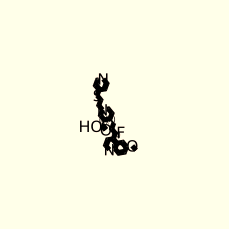 COc1ccc2nccc([C@H](F)CC[C@@H]3CCN(CCSc4ccncc4)C[C@@H]3C(=O)O)c2c1